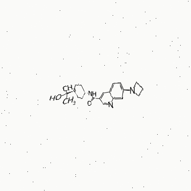 CC(C)(O)[C@H]1CC[C@H](NC(=O)c2cnc3cc(N4CCC4)ccc3c2)CC1